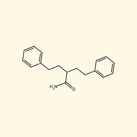 NC(=O)C(CCc1ccccc1)CCc1ccccc1